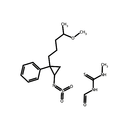 CNC(=S)NC=O.COC(C)CCCC1(c2ccccc2)CC1N=S(=O)=O